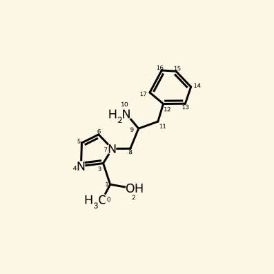 CC(O)c1nccn1CC(N)Cc1ccccc1